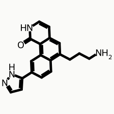 NCCCc1cc2cc[nH]c(=O)c2c2cc(-c3ccn[nH]3)ccc12